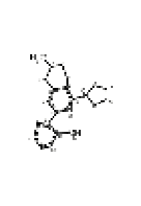 CC1CCc2c(nc(-c3ccccc3O)nc2N2CCCC2)C1